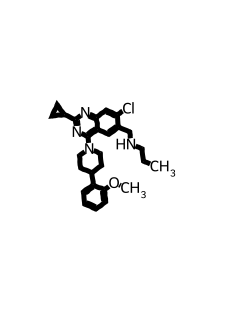 CCCNCc1cc2c(N3CCC(c4ccccc4OC)CC3)nc(C3CC3)nc2cc1Cl